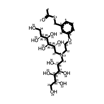 CC(=O)SCc1cccc(OCCN(C[C@@H](O)[C@@H](O)[C@H](O)[C@H](O)CO)C[C@@H](O)[C@@H](O)[C@H](O)[C@H](O)CO)c1